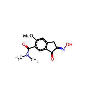 COc1cc2c(cc1C(=O)N(C)C)C(=O)C(=NO)C2